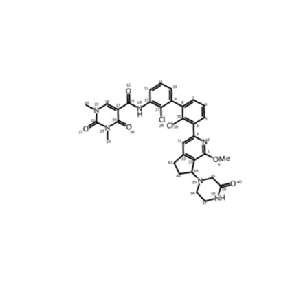 COc1nc(-c2cccc(-c3cccc(NC(=O)c4cn(C)c(=O)n(C)c4=O)c3Cl)c2Cl)cc2c1C(N1CCNC(=O)C1)CC2